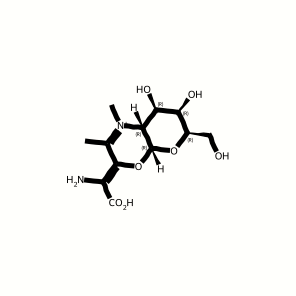 CC1=[N+](C)[C@H]2[C@@H](OC1=C(N)C(=O)O)O[C@H](CO)[C@H](O)[C@@H]2O